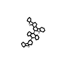 c1ccc2c(c1)sc1ccc(-c3c4ccccc4c(-c4cc5c(ccc6c7ccccc7sc65)c5c4sc4ccccc45)c4ccccc34)cc12